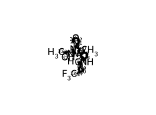 Cc1ccc(NC(=O)N2CC[C@@H](CC(F)(F)F)C2)cc1-c1cc(N2CCOCC2)nc(NC[C@@H](C)O)n1